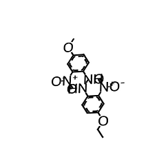 CCOc1ccc(NNc2ccc(OC)cc2[N+](=O)[O-])c([N+](=O)[O-])c1